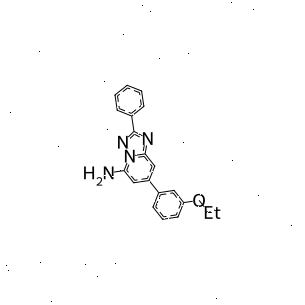 CCOc1cccc(-c2cc(N)n3nc(-c4ccccc4)nc3c2)c1